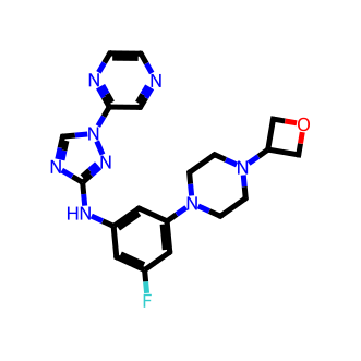 Fc1cc(Nc2ncn(-c3cnccn3)n2)cc(N2CCN(C3COC3)CC2)c1